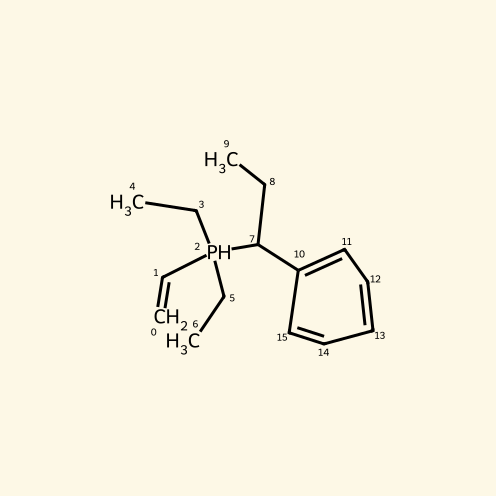 C=C[PH](CC)(CC)C(CC)c1ccccc1